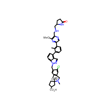 CCCC1(N(C)Cc2cc(Cl)c(Cn3ncc4c(-c5cccc(-c6cnc(CNCC7CCC(=O)N7)c(OC)n6)c5C)cccc43)cc2OC)CCC(C(=O)O)C1